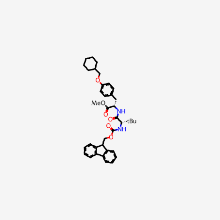 COC(=O)[C@H](Cc1ccc(OCC2CCCCC2)cc1)NC(=O)[C@@H](NC(=O)OCC1c2ccccc2-c2ccccc21)C(C)(C)C